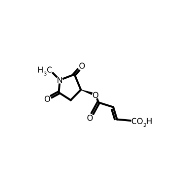 CN1C(=O)C[C@H](OC(=O)/C=C/C(=O)O)C1=O